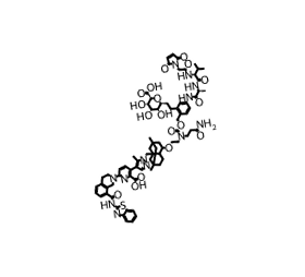 Cc1c(-c2ccc(N3CCc4cccc(C(=O)Nc5nc6ccccc6s5)c4C3)nc2C(=O)O)cnn1CC12CC3(C)CCC1C(OCCN(CCC(N)=O)C(=O)OCc1ccc(NC(=O)[C@H](C)NC(=O)[C@@H](NC(=O)CN4C(=O)C=CC4=O)C(C)C)cc1CC[C@@H]1O[C@H](C(=O)O)[C@@H](O)[C@H](O)[C@H]1O)CC(C)(C3)C2